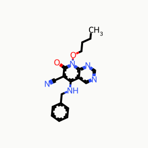 CCCCOn1c(=O)c(C#N)c(NCc2ccccc2)c2cncnc21